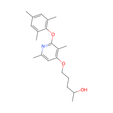 Cc1cc(C)c(Oc2nc(C)cc(OCCCC(C)O)c2C)c(C)c1